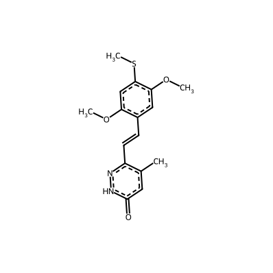 COc1cc(SC)c(OC)cc1C=Cc1n[nH]c(=O)cc1C